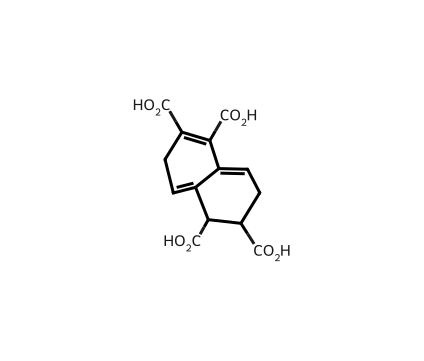 O=C(O)C1=C(C(=O)O)C2=CCC(C(=O)O)C(C(=O)O)C2=CC1